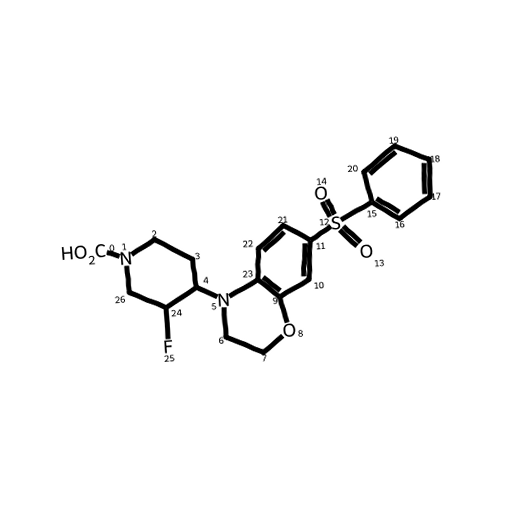 O=C(O)N1CCC(N2CCOc3cc(S(=O)(=O)c4ccccc4)ccc32)C(F)C1